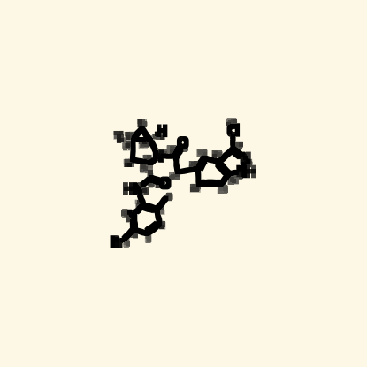 Cc1ccc(Br)nc1NC(=O)[C@@H]1C[C@@]2(C)C[C@H]2N1C(=O)Cc1ccc2[nH]nc(Cl)c2c1